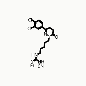 CC/N=C(\NC#N)NCCCCCN1N=C(c2ccc(Cl)c(Cl)c2)CCC1=O